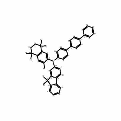 Cc1cc2c(cc1N(c1ccc(-c3ccc(-c4ccccc4)cc3)cc1)c1ccc3c(c1)C(C)(C)c1ccccc1-3)C(C)(C)CCC2(C)C